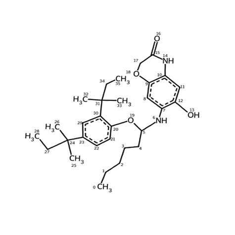 CCCCCC(Nc1cc2c(cc1O)NC(=O)CO2)Oc1ccc(C(C)(C)CC)cc1C(C)(C)CC